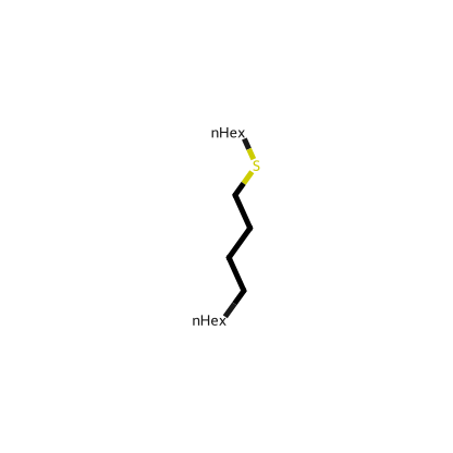 [CH2]CCCCCSCCCCCCCCCC